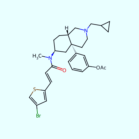 CC(=O)Oc1cccc([C@@]23CCN(CC4CC4)C[C@H]2CC[C@H](N(C)C(=O)/C=C/c2cc(Br)cs2)C3)c1